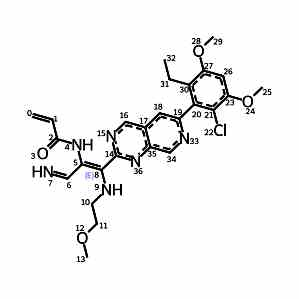 C=CC(=O)N/C(C=N)=C(/NCCOC)c1ncc2cc(-c3c(Cl)c(OC)cc(OC)c3CC)ncc2n1